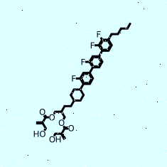 C=C(CO)C(=O)OCC(CCC1CCC(c2ccc(-c3ccc(-c4ccc(CCCCC)c(F)c4F)cc3F)cc2F)CC1)COC(=O)C(=C)CO